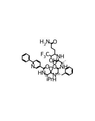 CC(C)[C@H](NC(=O)c1ccc(-c2ccccc2)nc1)C(=O)N[C@@H](Cc1ccccc1)C(=O)N[C@@H](C)C(=O)NC(CCC(N)=O)C(O)C(F)(F)F